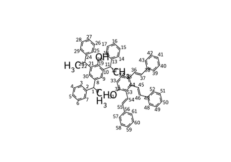 CC(c1ccccc1)c1cc(C(C)c2ccccc2)c(O)c(C(C)c2ccccc2)c1.Oc1ccc(C=Cc2ccccc2)c(C=Cc2ccccc2)c1C=Cc1ccccc1